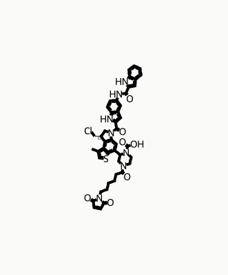 Cc1csc2c(C3CN(C(=O)CCCCCN4C(=O)C=CC4=O)CCN3C(=O)O)cc3c(c12)[C@H](CCl)CN3C(=O)c1cc2cc(NC(=O)c3cc4ccccc4[nH]3)ccc2[nH]1